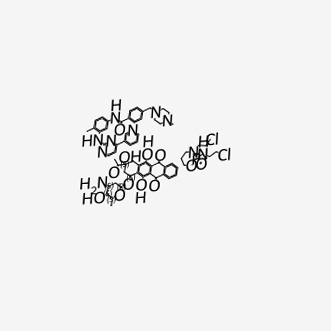 CC(=O)[C@]1(O)Cc2c(O)c3c(c(O)c2[C@@H](O[C@H]2C[C@H](N)[C@H](O)[C@H](C)O2)C1)C(=O)c1ccccc1C3=O.Cc1ccc(NC(=O)c2ccc(CN3CCN(C)CC3)cc2)cc1Nc1nccc(-c2cccnc2)n1.O=P1(NCCCl)OCCCN1CCCl